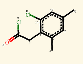 Cc1cc(C)c(CC(=O)Cl)c(Cl)c1